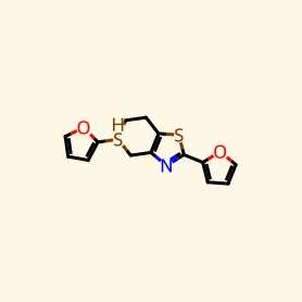 c1coc(-c2nc3c(s2)CC[SH](c2ccco2)C3)c1